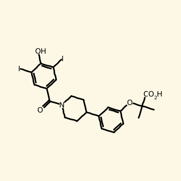 CC(C)(Oc1cccc(C2CCN(C(=O)c3cc(I)c(O)c(I)c3)CC2)c1)C(=O)O